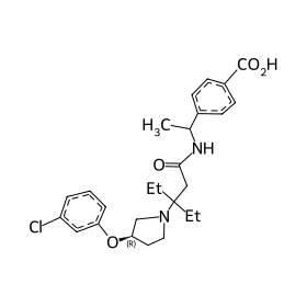 CCC(CC)(CC(=O)NC(C)c1ccc(C(=O)O)cc1)N1CC[C@@H](Oc2cccc(Cl)c2)C1